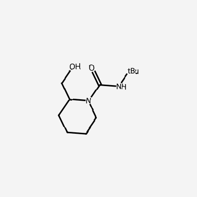 CC(C)(C)NC(=O)N1CCCCC1CO